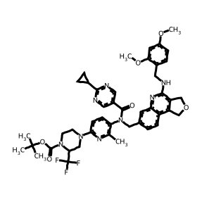 COc1ccc(CNc2nc3cc(CN(C(=O)c4cnc(C5CC5)nc4)c4ccc(N5CCN(C(=O)OC(C)(C)C)C(C(F)(F)F)C5)nc4C)ccc3c3c2COC3)c(OC)c1